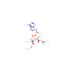 CCOC(=O)C(C)(C)NP(=O)(CO[C@H](C)Cn1cnc2c(N)ncnc21)O[C@H](C)C(=O)OC(C)C